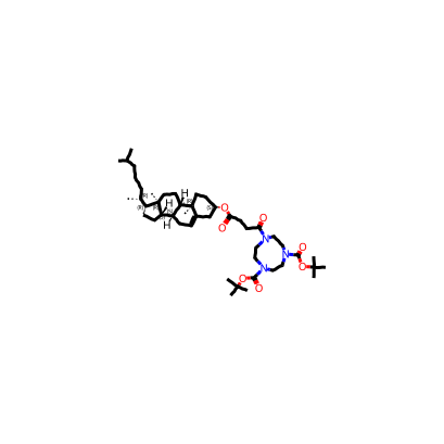 CC(C)CCC[C@@H](C)[C@H]1CC[C@H]2[C@@H]3CC=C4C[C@@H](OC(=O)CCC(=O)N5CCN(C(=O)OC(C)(C)C)CCN(C(=O)OC(C)(C)C)CC5)CC[C@]4(C)[C@H]3CC[C@]12C